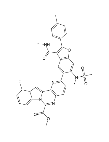 CNC(=O)c1c(-c2ccc(C)cc2)oc2cc(N(C)S(C)(=O)=O)c(-c3ccc4c(n3)C3=CC5C(=CC=CC5F)N3C(C(=O)OC)=N4)cc12